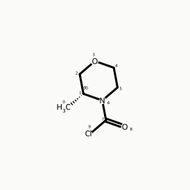 C[C@@H]1COCCN1C(=O)Cl